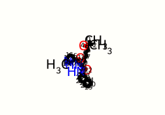 CC(C)C(=O)CCCCC[C@H](NC(=O)C1CCCN(C)C1)C(=O)Nc1ccc2ccccc2c1